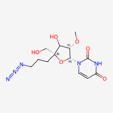 CO[C@H]1C(O)[C@](CO)(CCCN=[N+]=[N-])O[C@H]1n1ccc(=O)[nH]c1=O